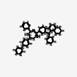 c1ccc(C2N=C(c3ccc4c5ccc6c(c5n(-c5ccccc5)c4c3)C=CCC6)NCC(c3ccc(-c4ccccc4)cc3)N2)cc#1